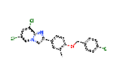 Cc1cc(-c2cn3cc(Cl)cc(Cl)c3n2)ccc1OCc1ccc(Cl)cc1